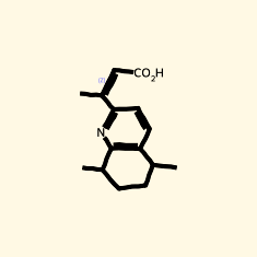 C/C(=C/C(=O)O)c1ccc2c(n1)C(C)CCC2C